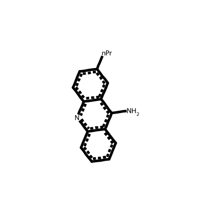 CCCc1ccc2nc3ccccc3c(N)c2c1